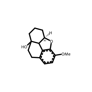 COc1ccc2c3c1O[C@@H]1CCCC(O)(CC2)C31